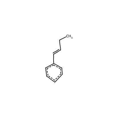 CCC=Cc1cc[c]cc1